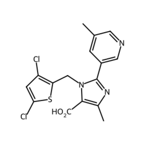 Cc1cncc(-c2nc(C)c(C(=O)O)n2Cc2sc(Cl)cc2Cl)c1